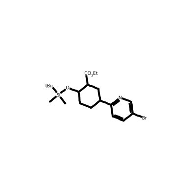 CCOC(=O)C1CC(c2ccc(Br)cn2)CCC1O[Si](C)(C)C(C)(C)C